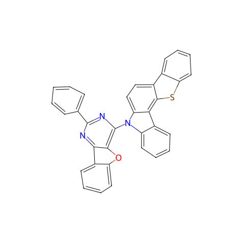 c1ccc(-c2nc(-n3c4ccccc4c4c5sc6ccccc6c5ccc43)c3oc4ccccc4c3n2)cc1